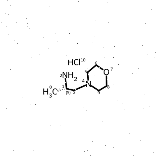 C[C@H](N)CN1CCOCC1.Cl